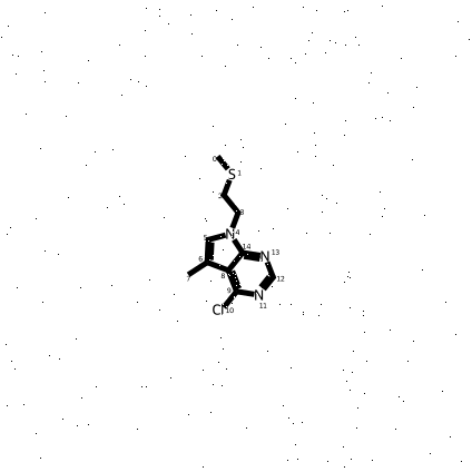 CSCCn1cc(C)c2c(Cl)ncnc21